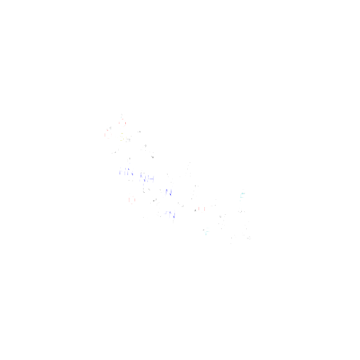 Cc1cc(OCc2c(F)cccc2F)c2nc(C)c(C(=O)NNC3CS(=O)(=O)CC3C)n2c1